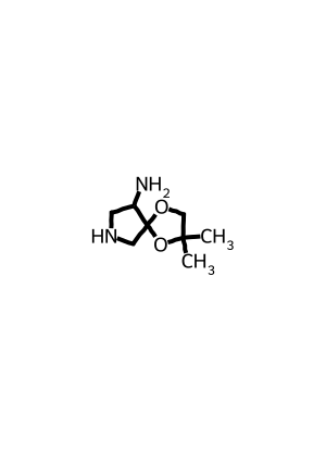 CC1(C)COC2(CNCC2N)O1